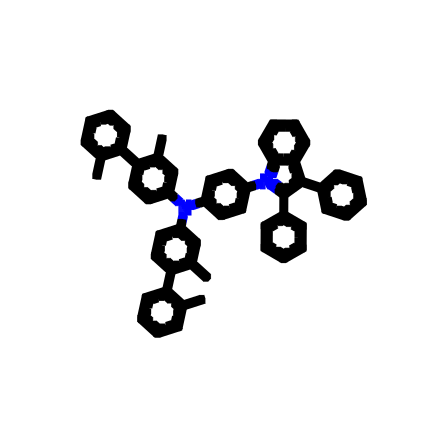 Cc1ccccc1-c1ccc(N(c2ccc(-n3c(-c4ccccc4)c(-c4ccccc4)c4ccccc43)cc2)c2ccc(-c3ccccc3C)c(C)c2)cc1C